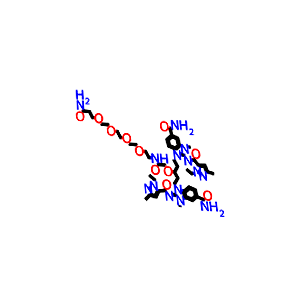 CCn1nc(C)cc1C(=O)N=c1n(C)c2cc(C(N)=O)ccc2n1CCC(CCn1c(=NC(=O)c2cc(C)nn2CC)n(C)c2cc(C(N)=O)ccc21)OCC(=O)NCCOCCOCCOCCOCCC(N)=O